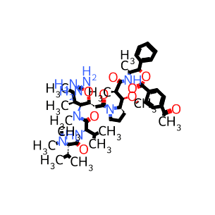 CC[C@H](C)[C@@H]([C@@H](CC(=O)N1CCC[C@H]1[C@H](OC)[C@@H](C)C(=O)N[C@H](C)C(OC(=O)c1ccc(C(C)=O)cc1)c1ccccc1)OC(N)(N)N)N(C)C(=O)[C@@H](NC(=O)[C@H](C(C)C)N(C)C)C(C)C